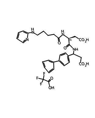 O=C(O)C(F)(F)F.O=C(O)CC(NC(=O)[C@H](CC(=O)O)NC(=O)CCCCNc1ccccn1)c1ccc(-c2ccccc2)cc1